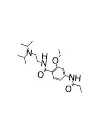 CCOc1cc(NC(=O)CC)ccc1C(=O)NCCN(C(C)C)C(C)C